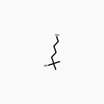 CCCC(C)(C)CCCCO